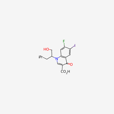 CC(C)CC(CO)n1cc(C(=O)O)c(=O)c2cc(I)c(F)cc21